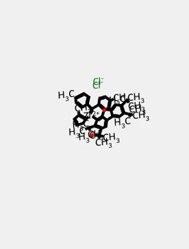 CC1=[C]([Zr+2](=[C](c2ccc(C)cc2)c2ccc(C)cc2)[c]2c3c(cc(C(C)(C)C)c2C(C)(C)C)-c2cc(C(C)(C)C)c(C(C)(C)C)cc2C3)CC=C1.[Cl-].[Cl-]